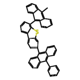 Cc1c2ccccc2c(-c2cccc3c2sc2cc(-c4c5ccccc5c(-c5ccccc5)c5ccccc45)ccc23)c2ccccc12